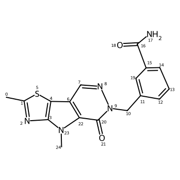 Cc1nc2c(s1)c1cnn(Cc3cccc(C(N)=O)c3)c(=O)c1n2C